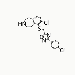 Clc1ccc(-c2noc(CSc3c(Cl)ccc4c3CCNCC4)n2)cc1